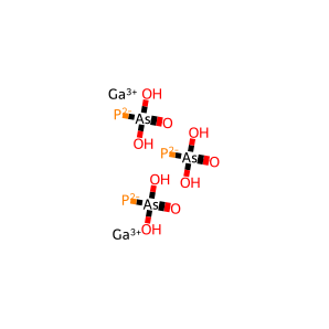 O=[As](O)(O)[P-2].O=[As](O)(O)[P-2].O=[As](O)(O)[P-2].[Ga+3].[Ga+3]